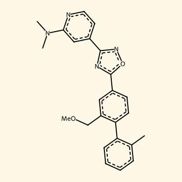 COCc1cc(-c2nc(-c3ccnc(N(C)C)c3)no2)ccc1-c1ccccc1C